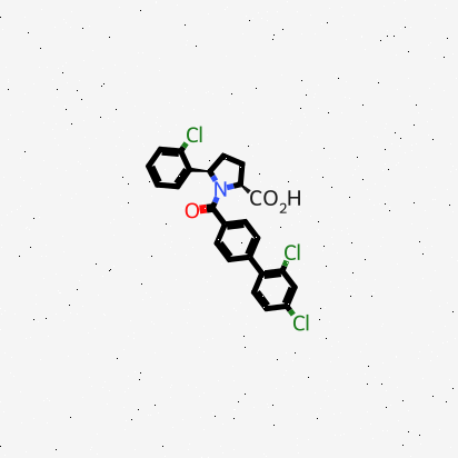 O=C(O)[C@@H]1CC[C@H](c2ccccc2Cl)N1C(=O)c1ccc(-c2ccc(Cl)cc2Cl)cc1